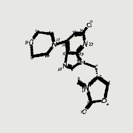 CN1C(=O)OC[C@H]1Cn1cnc2c(N3CCOCC3)cc(Cl)nc21